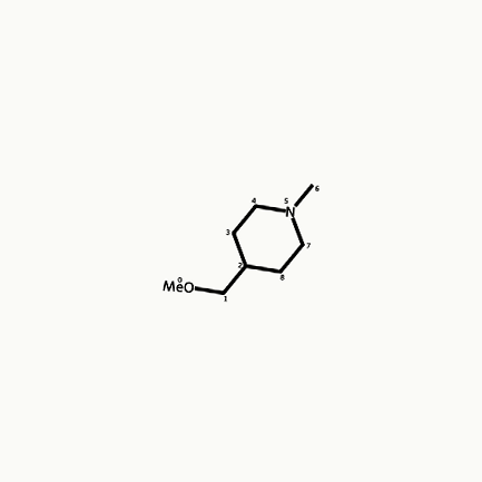 COCC1CCN(C)CC1